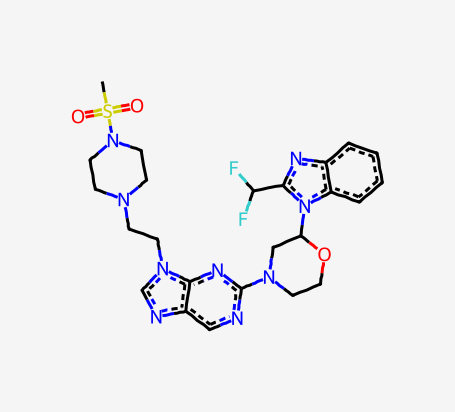 CS(=O)(=O)N1CCN(CCn2cnc3cnc(N4CCOC(n5c(C(F)F)nc6ccccc65)C4)nc32)CC1